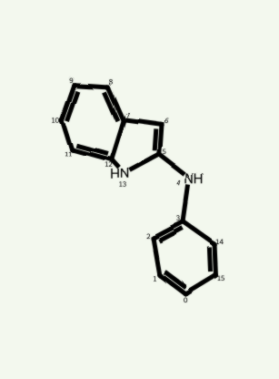 c1ccc(Nc2cc3ccccc3[nH]2)cc1